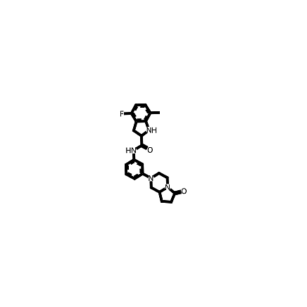 Cc1ccc(F)c2c1NC(C(=O)Nc1cccc(N3CCN4C(=O)CCC4C3)c1)C2